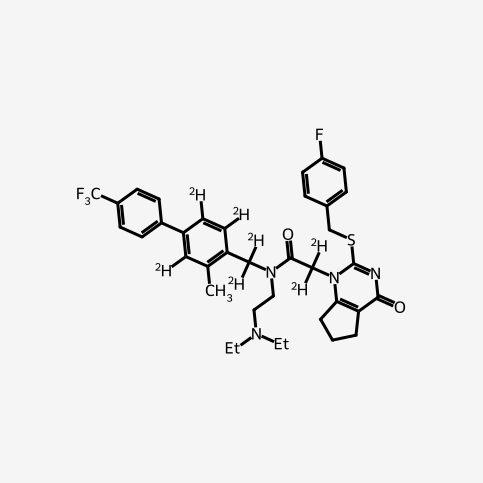 [2H]c1c([2H])c(C([2H])([2H])N(CCN(CC)CC)C(=O)C([2H])([2H])n2c(SCc3ccc(F)cc3)nc(=O)c3c2CCC3)c(C)c([2H])c1-c1ccc(C(F)(F)F)cc1